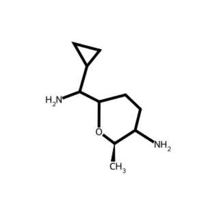 C[C@H]1OC(C(N)C2CC2)CCC1N